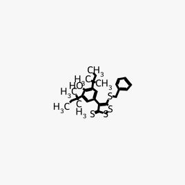 CCC(C)(C)c1cc(-c2c(SCc3ccccc3)ssc2=S)cc(C(C)(C)CC)c1O